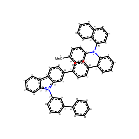 COc1ccc(N(c2ccccc2-c2ccc(-c3ccc4c5ccccc5n(-c5cccc(-c6ccccc6)c5)c4c3)cc2)c2cccc3ccccc23)cc1